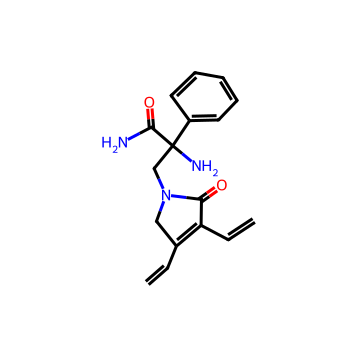 C=CC1=C(C=C)C(=O)N(CC(N)(C(N)=O)c2ccccc2)C1